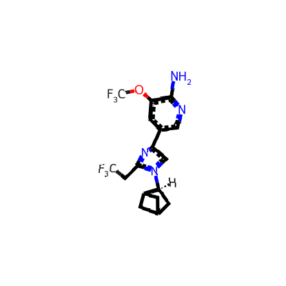 Nc1ncc(-c2cn([C@H]3CC4CC3C4)c(CC(F)(F)F)n2)cc1OC(F)(F)F